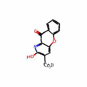 CCOC(=O)c1cc2oc3ccccc3c(=O)c2nc1O